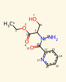 CCOC(=O)C(CO)N(N)C(=O)c1ccccn1